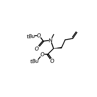 C=CCC[C@@H](C(=O)OC(C)(C)C)N(C)C(=O)OC(C)(C)C